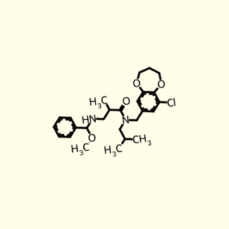 COC(NCC(C)C(=O)N(Cc1cc(Cl)c2c(c1)OCCCO2)CC(C)C)c1ccccc1